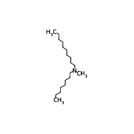 CCCCCCCCCCN(C)CCCCCCCC